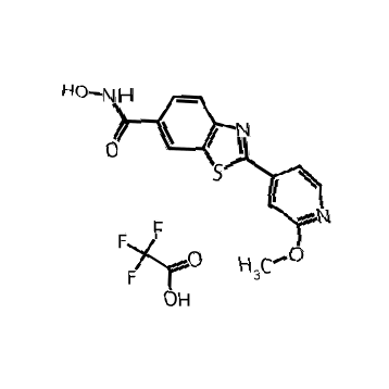 COc1cc(-c2nc3ccc(C(=O)NO)cc3s2)ccn1.O=C(O)C(F)(F)F